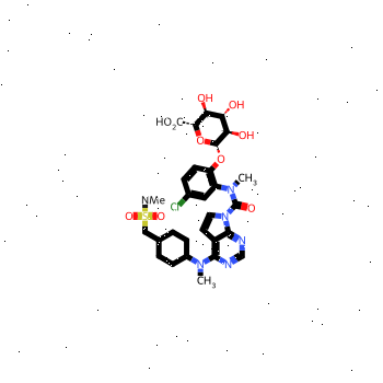 CNS(=O)(=O)CC1CCC(N(C)c2ncnc3c2ccn3C(=O)N(C)c2cc(Cl)ccc2O[C@@H]2O[C@H](C(=O)O)[C@@H](O)[C@H](O)[C@H]2O)CC1